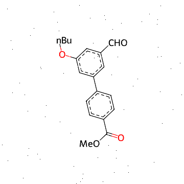 CCCCOc1cc(C=O)cc(-c2ccc(C(=O)OC)cc2)c1